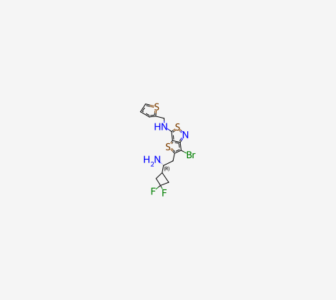 N[C@H](Cc1sc2c(NCc3cccs3)snc2c1Br)C1CC(F)(F)C1